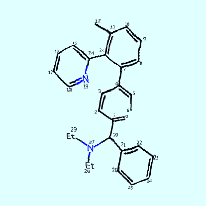 C=C(/C=C\C(=C/C)c1cccc(C)c1-c1ccccn1)C(c1ccccc1)N(CC)CC